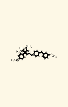 COC(=O)C(CCCN1CCC(Cc2cccc(OC)c2)CC1)(c1ccc(OC)cc1)C(C)C